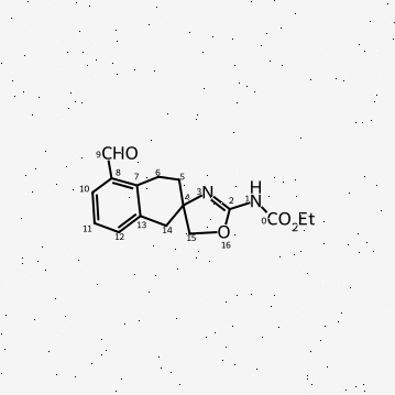 CCOC(=O)NC1=NC2(CCc3c(C=O)cccc3C2)CO1